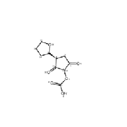 O=C(O)ON1C(=O)C[C@H](C2CCCO2)C1=O